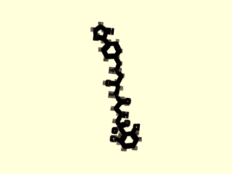 O=C(CNCc1ccc(C2=NCCN2)cc1)CNC(=O)CNCS(=O)(=O)c1c(Cl)cccc1Cl